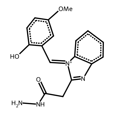 COc1ccc(O)c(C=[N+]2C(CC(=O)NN)=Nc3ccccc32)c1